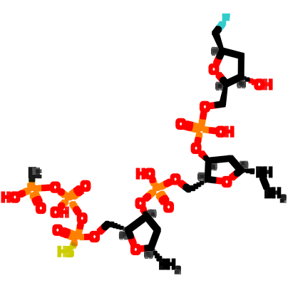 BB[C@H]1C[C@H](OP(=O)(O)OC[C@H]2O[C@@H](CF)C[C@@H]2O)[C@@H](COP(=O)(O)O[C@H]2C[C@H](B)O[C@@H]2COP(=O)(S)OP(=O)(O)OP(=O)(O)CC)O1